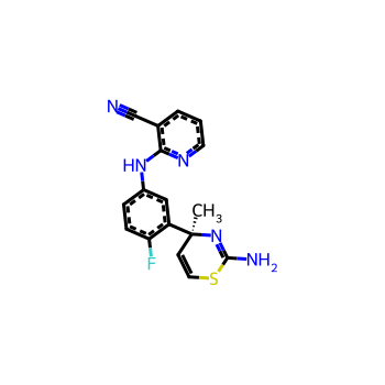 C[C@@]1(c2cc(Nc3ncccc3C#N)ccc2F)C=CSC(N)=N1